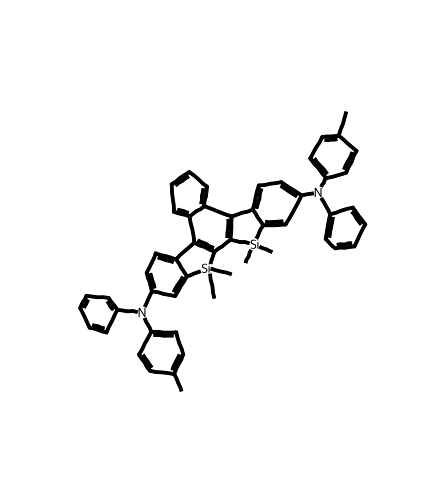 Cc1ccc(N(c2ccccc2)c2ccc3c(c2)[Si](C)(C)c2c4c(c5ccccc5c2-3)-c2ccc(N(c3ccccc3)c3ccc(C)cc3)cc2[Si]4(C)C)cc1